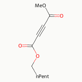 CCCCCCOC(=O)C#CC(=O)OC